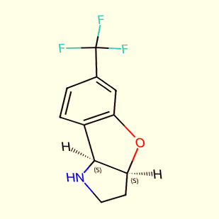 FC(F)(F)c1ccc2c(c1)O[C@H]1CCN[C@@H]21